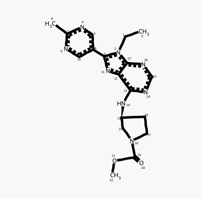 CCn1c(-c2cnc(C)nc2)nc2c(N[C@H]3CCN(C(=O)OC)C3)ncnc21